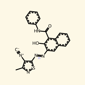 [C-]#[N+]c1c(C)nsc1/N=N/c1cc2ccccc2c(C(=O)Nc2ccccc2)c1O